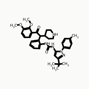 COc1cccc(C(=O)C(c2ccccc2NC(=O)Nc2cc(C(C)(C)C)nn2-c2ccc(C)cc2)C2CCNCC2)c1OC